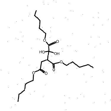 CCCCCOC(=O)CC(C(=O)OCCCCC)C(O)(O)C(=O)OCCCCC